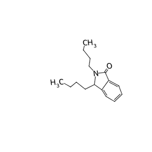 CCCCC1c2ccccc2C(=O)N1CCCC